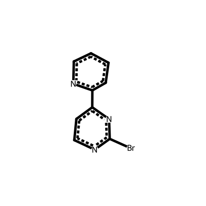 Brc1nccc(-c2ccccn2)n1